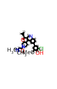 COc1cc(-c2ccc3ncc(C(=O)C4CC4)c(C4=CCN(C(=O)CN(C)C)CC4)c3c2)cc(Cl)c1O